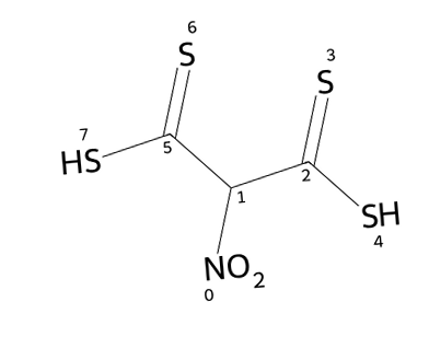 O=[N+]([O-])C(C(=S)S)C(=S)S